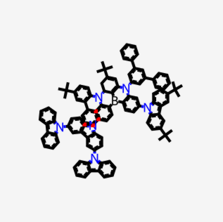 CC(C)(C)C1=CC2=C3B(c4ccc(-n5c6ccc(C(C)(C)C)cc6c6cc(C(C)(C)C)ccc65)cc4N2c2cc(-c4ccccc4)cc(-c4ccccc4)c2)c2ccc(-n4c5ccc(-n6c7ccccc7c7ccccc76)cc5c5cc(-n6c7ccccc7c7ccccc76)ccc54)cc2N(c2ccc(C(C)(C)C)cc2-c2ccccc2)C3C1